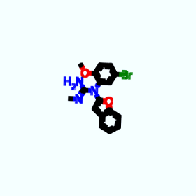 CN=C(N)N(c1cc2ccccc2o1)c1cc(Br)ccc1OC